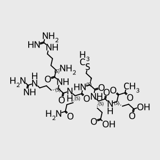 CSCC[C@H](NC(=O)[C@H](CCC(N)=O)NC(=O)[C@H](CCCNC(=N)N)NC(=O)[C@@H](N)CCCNC(=N)N)C(=O)N[C@@H](CCC(=O)O)C(=O)N[C@@H](CCC(=O)O)C(=O)C(C)=O